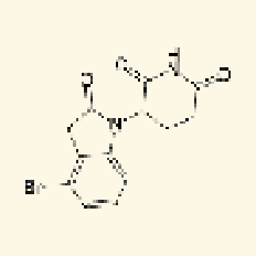 O=C1CCC(N2C(=O)Cc3c(Br)cccc32)C(=O)N1